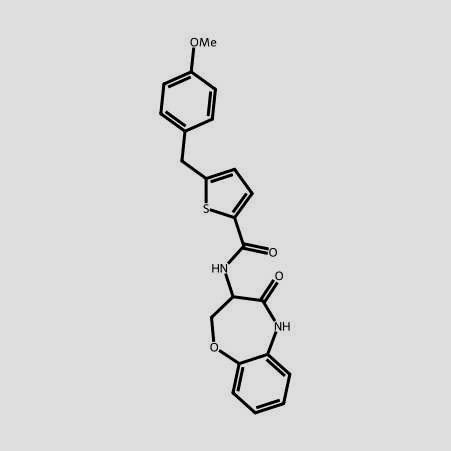 COc1ccc(Cc2ccc(C(=O)NC3COc4ccccc4NC3=O)s2)cc1